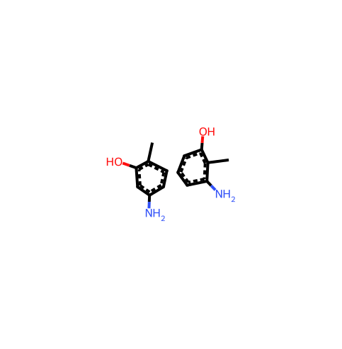 Cc1c(N)cccc1O.Cc1ccc(N)cc1O